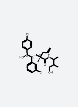 C=CC[C@@](C)(C[C@H](c1cccc(Cl)c1)[C@@H](O)c1ccc(Cl)cc1)C(=O)NC(C)C(C)CO